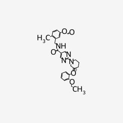 CCOc1ccccc1O[C@@H]1CCCN(c2ncc(C(=O)NCc3cc(OC=O)ccc3C)cn2)C1